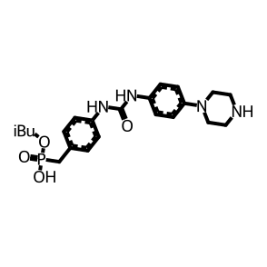 CCC(C)OP(=O)(O)Cc1ccc(NC(=O)Nc2ccc(N3CCNCC3)cc2)cc1